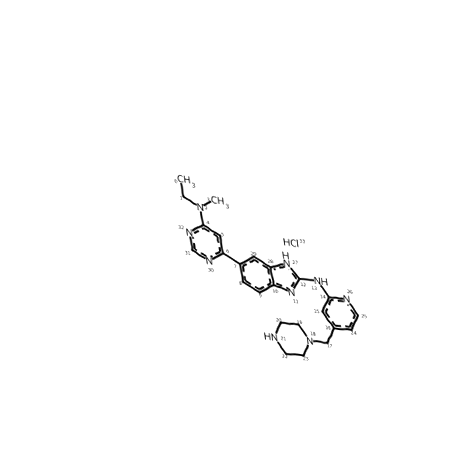 CCN(C)c1cc(-c2ccc3nc(Nc4cc(CN5CCNCC5)ccn4)[nH]c3c2)ncn1.Cl